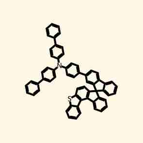 c1ccc(-c2ccc(N(c3ccc(-c4ccccc4)cc3)c3ccc(-c4ccc5c(c4)C4(c6ccccc6-5)c5ccccc5-c5c4ccc4sc6ccccc6c54)cc3)cc2)cc1